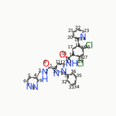 O=C(NCc1ccnnc1)c1cc(NC(=O)c2cc(-c3ccccn3)c(Cl)cc2Cl)n(-c2ccccc2)n1